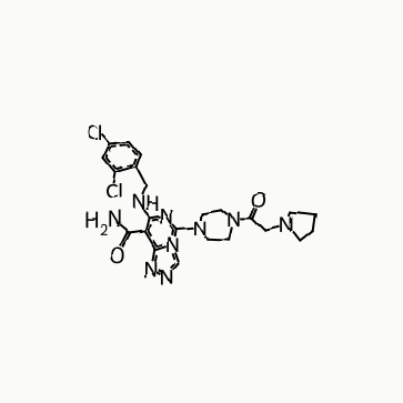 NC(=O)c1c(NCc2ccc(Cl)cc2Cl)nc(N2CCN(C(=O)CN3CCCC3)CC2)n2cnnc12